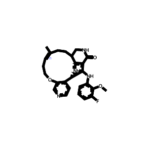 COc1c(F)cccc1Nc1c2[nH]c3c1C(=O)NCC3CC/C(C)=C\CCOc1cnccc1-2